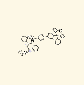 N/C=C(\C=C(/CN1NC1c1ccc(-c2ccc3c(c2)-c2ccccc2C32c3ccccc3Oc3ccccc32)cc1)c1ccccc1)c1ccccc1